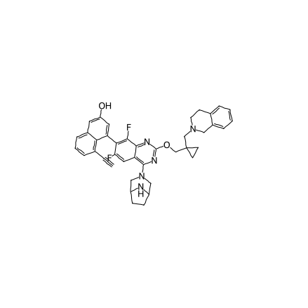 C#Cc1cccc2cc(O)cc(-c3c(F)cc4c(N5CC6CCC(C5)N6)nc(OCC5(CN6CCc7ccccc7C6)CC5)nc4c3F)c12